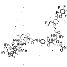 CC[C@H](C)[C@@H]([C@@H](CC(=O)N1CCC[C@H]1[C@H](OC)[C@@H](C)C(=O)NCC(=O)NCc1ccc(NC(=O)[C@H](CCCNC(N)=O)NC(=O)C(NC(=O)CCCN2CCC(C(=O)Oc3c(F)c(F)c(F)c(F)c3F)CC2C(F)(F)F)C(C)C)cc1)OC)N(C)C(=O)[C@@H](NC(=O)C(C(C)C)N(C)C)C(C)C